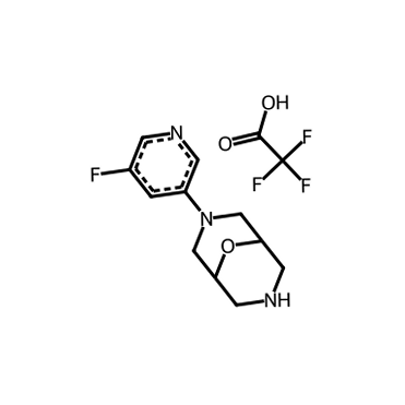 Fc1cncc(N2CC3CNCC(C2)O3)c1.O=C(O)C(F)(F)F